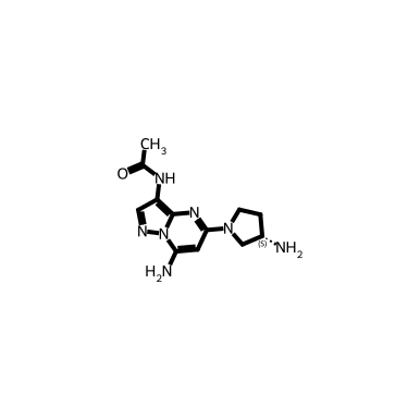 CC(=O)Nc1cnn2c(N)cc(N3CC[C@H](N)C3)nc12